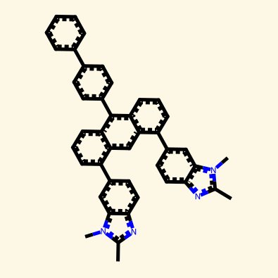 Cc1nc2ccc(-c3cccc4c(-c5ccc(-c6ccccc6)cc5)c5cccc(-c6ccc7nc(C)n(C)c7c6)c5cc34)cc2n1C